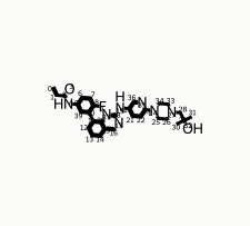 C=CC(=O)Nc1ccc(F)c(-c2cccc3cnc(Nc4ccc(N5CCN(CC(C)(C)O)CC5)nc4)nc23)c1